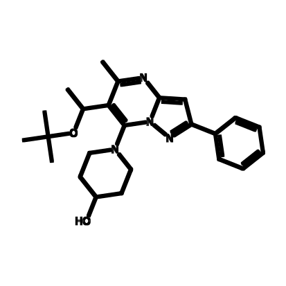 Cc1nc2cc(-c3ccccc3)nn2c(N2CCC(O)CC2)c1C(C)OC(C)(C)C